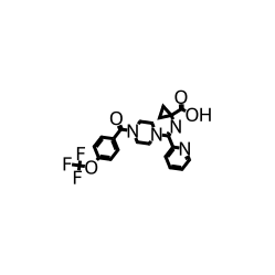 O=C(c1ccc(OC(F)(F)F)cc1)N1CCN(C(=NC2(C(=O)O)CC2)c2ccccn2)CC1